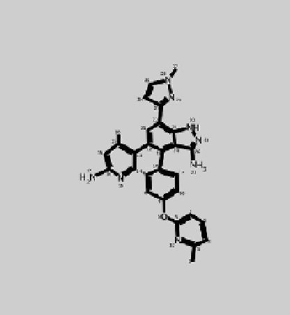 Cc1cccc(Oc2ccc(-c3c(-c4cnc(N)cc4C)cc(-c4ccn(C)n4)c4[nH]nc(N)c34)cc2)n1